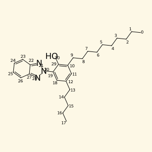 CCCCCCCCCCc1cc(CCCCC)cc(-n2nc3ccccc3n2)c1O